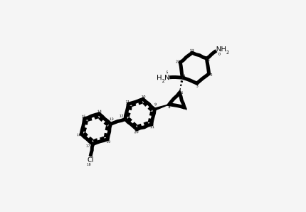 NC1CCC(N)([C@@H]2C[C@H]2c2ccc(-c3cccc(Cl)c3)cc2)CC1